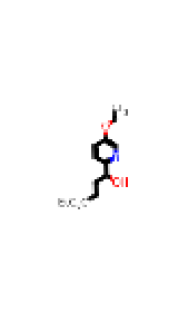 CCOC(=O)CCC(O)c1ccc(OCC(F)(F)F)cn1